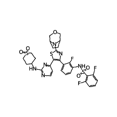 O=S1(=O)CCC(Nc2nccc(-c3sc(N4C5CCC4COC5)nc3-c3cccc(NS(=O)(=O)c4c(F)cccc4F)c3F)n2)CC1